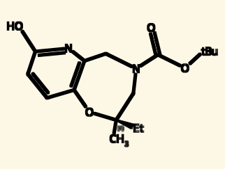 CC[C@]1(C)CN(C(=O)OC(C)(C)C)Cc2nc(O)ccc2O1